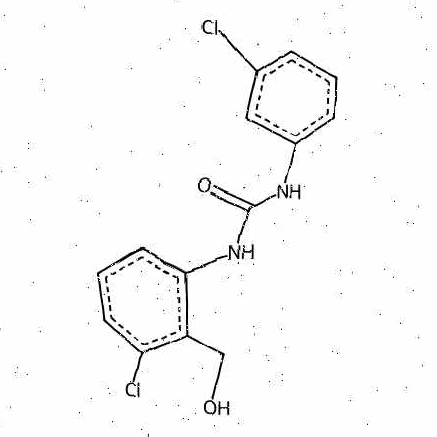 O=C(Nc1cccc(Cl)c1)Nc1cccc(Cl)c1CO